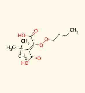 CCCCOOC(C(=O)O)=C(C(=O)O)C(C)(C)C